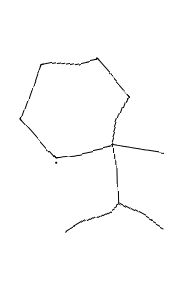 CC(C)C1(C)[CH]CCCC1